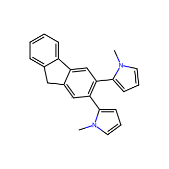 Cn1cccc1-c1[c]c2c(cc1-c1cccn1C)-c1ccccc1C2